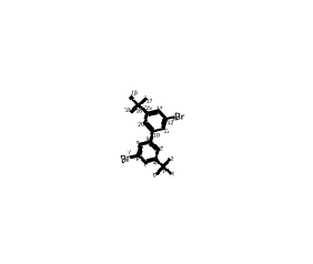 CC(C)(C)c1cc(Br)cc(-c2cc(Br)cc(C(C)(C)C)c2)c1